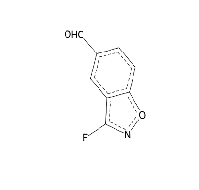 O=Cc1ccc2onc(F)c2c1